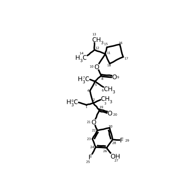 CCC(C)(CC(C)(C)C(=O)OC1(C(C)C)CCCC1)C(=O)Oc1cc(F)c(O)c(F)c1